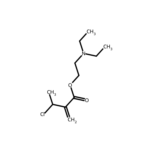 C=C(C(=O)OCCN(CC)CC)C(C)Cl